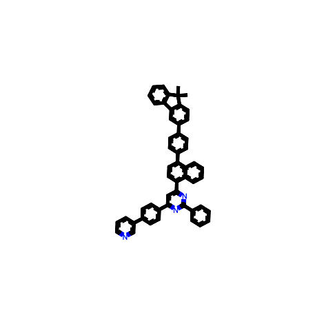 CC1(C)c2ccccc2-c2cc(-c3ccc(-c4ccc(-c5cc(-c6ccc(-c7cccnc7)cc6)nc(-c6ccccc6)n5)c5ccccc45)cc3)ccc21